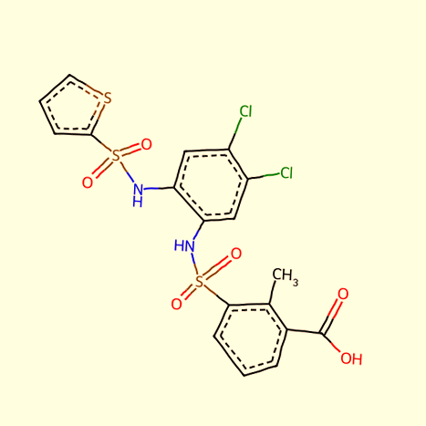 Cc1c(C(=O)O)cccc1S(=O)(=O)Nc1cc(Cl)c(Cl)cc1NS(=O)(=O)c1cccs1